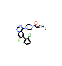 C=CC(=O)N1CCN(c2ncnc3cc(F)c(-c4ccccc4Cl)cc23)CC1